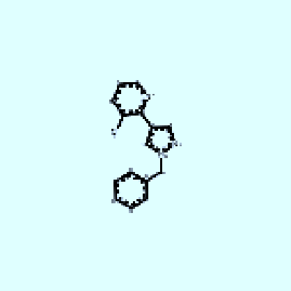 Clc1cccnc1-c1cnn(Cc2cc[c]cc2)c1